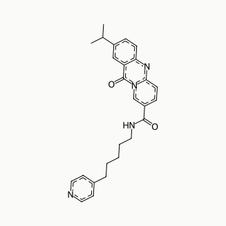 CC(C)c1ccc2nc3ccc(C(=O)NCCCCCc4ccncc4)cn3c(=O)c2c1